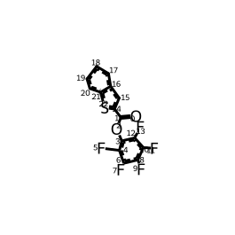 O=C(Oc1c(F)c(F)c(F)c(F)c1F)c1cc2ccccc2s1